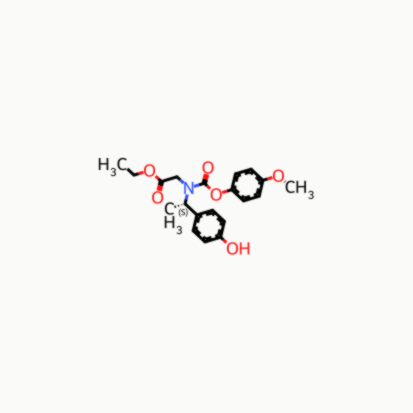 CCOC(=O)CN(C(=O)Oc1ccc(OC)cc1)[C@@H](C)c1ccc(O)cc1